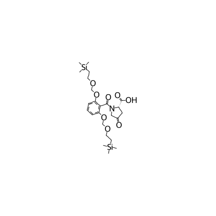 C[Si](C)(C)CCOCOc1cccc(OCOCC[Si](C)(C)C)c1C(=O)N1CC(=O)C[C@H]1C(=O)O